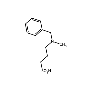 CN(CCCS(=O)(=O)O)Cc1ccccc1